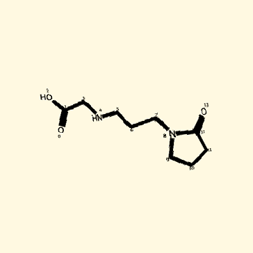 O=C(O)CNCCCN1CCCC1=O